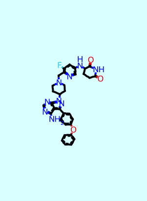 Nc1ncnc2c1c(-c1ccc(Oc3ccccc3)cc1)nn2C1CCN(Cc2ncc(NC3CCC(=O)NC3=O)cc2F)CC1